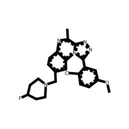 COc1ccc(Cl)c(-c2nnc3c(C)nc4ccc(CN5CCC(F)CC5)cc4n23)c1